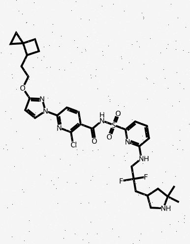 CC1(C)CC(CC(F)(F)CNc2cccc(S(=O)(=O)NC(=O)c3ccc(-n4ccc(OCCC5CCC56CC6)n4)nc3Cl)n2)CN1